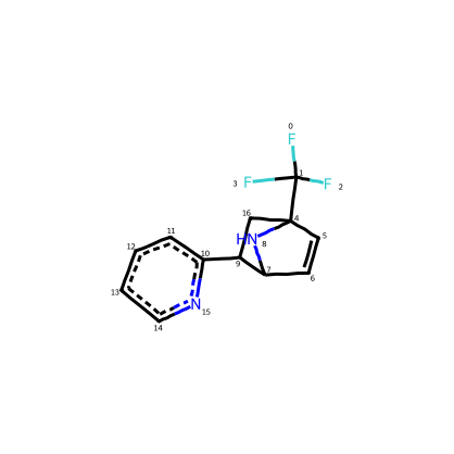 FC(F)(F)C12C=CC(N1)C(c1ccccn1)C2